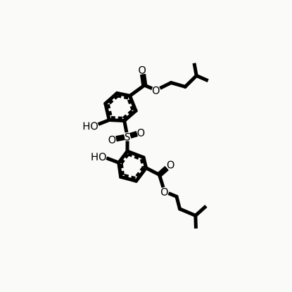 CC(C)CCOC(=O)c1ccc(O)c(S(=O)(=O)c2cc(C(=O)OCCC(C)C)ccc2O)c1